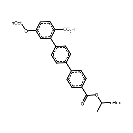 CCCCCCCCOc1ccc(C(=O)O)c(-c2ccc(-c3ccc(C(=O)OC(C)CCCCCC)cc3)cc2)c1